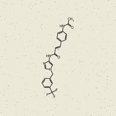 CC(=O)Nc1ccc(/C=C/C(=O)Nc2cn(Cc3cccc(C(F)(F)F)c3)cn2)cc1